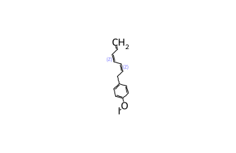 C=C/C=C\C=C/Cc1ccc(OI)cc1